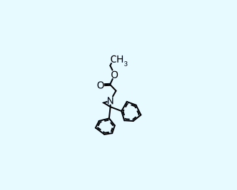 CCOC(=O)CN1CC1(c1ccccc1)c1ccccc1